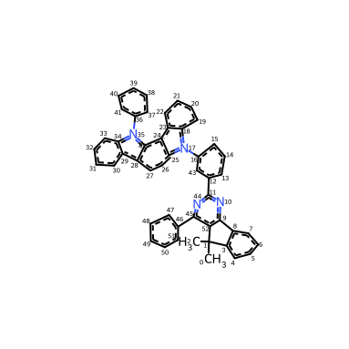 CC1(C)c2ccccc2-c2nc(-c3cccc(-n4c5ccccc5c5c4ccc4c6ccccc6n(-c6ccccc6)c45)c3)nc(-c3ccccc3)c21